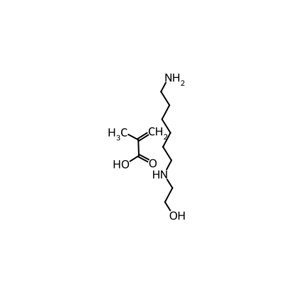 C=C(C)C(=O)O.NCCCCCCNCCO